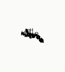 C=CC(=O)Nc1cc(Nc2nccc(C(=O)c3ccc(N4CCN(C)CC4)cc3)n2)c(OC)cc1N(C)CCN(C)C